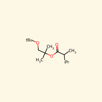 CC(C)C(C)C(=O)OC(C)(C)COC(C)(C)C